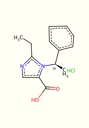 CCc1ncc(C(=O)O)n1[C@H](C)c1ccccc1.Cl